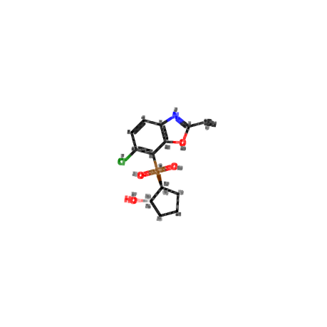 CC(C)(C)c1nc2ccc(Cl)c(S(=O)(=O)[C@H]3CCC[C@@H]3O)c2o1